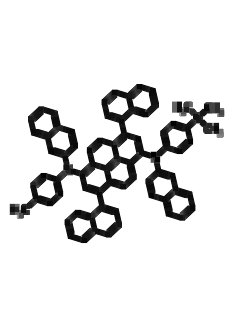 Cc1ccc(N(c2ccc3ccccc3c2)c2cc(-c3cccc4ccccc34)c3ccc4c(N(c5ccc([Si](C)(C)C)cc5)c5ccc6ccccc6c5)cc(-c5cccc6ccccc56)c5ccc2c3c54)cc1